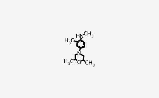 CNc1ccc(N2CC(C)OC(C)C2)cc1C